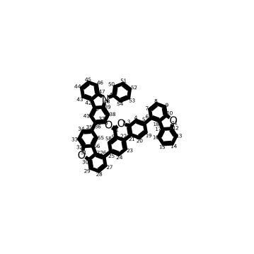 O=c1oc2cc(-c3cccc4oc5ccccc5c34)ccc2c2ccc(-c3cccc4oc5ccc(-c6ccc7c(c6)c6ccccc6n7-c6ccccc6)cc5c34)cc12